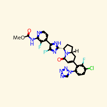 COC(=O)Nc1nccc(-c2[nH]c([C@@H]3CC[C@@H]4CC(c5c(-n6cnnn6)ccc(Cl)c5F)=CC(=O)N43)nc2F)c1F